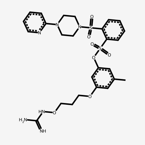 Cc1cc(OCCCONC(=N)N)cc(OS(=O)(=O)c2ccccc2S(=O)(=O)N2CCN(c3ccccn3)CC2)c1